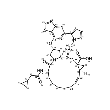 Cn1nccc1-c1nc(O[C@@H]2C[C@H]3C(=O)N[C@]4(C(=O)O)C[C@H]4/C=C\CCCCC[C@H](NC(=O)CC4CC4)C(=O)N3C2)c2sccc2n1